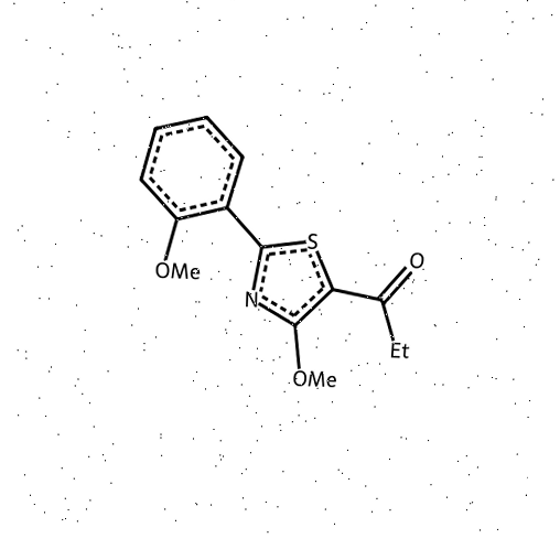 CCC(=O)c1sc(-c2ccccc2OC)nc1OC